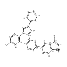 Cc1ccc(-n2cc(-c3ccccn3)nc2-c2cccc(-c3cnc4[nH]cc(C)c4n3)c2)cn1